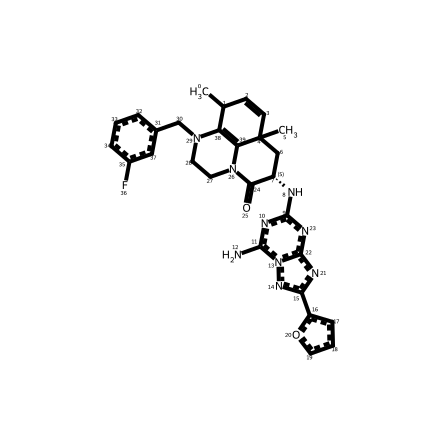 CC1C=CC2(C)C[C@H](Nc3nc(N)n4nc(-c5ccco5)nc4n3)C(=O)N3CCN(Cc4cccc(F)c4)C1=C32